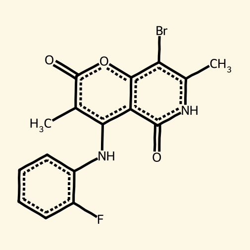 Cc1[nH]c(=O)c2c(Nc3ccccc3F)c(C)c(=O)oc2c1Br